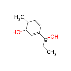 CC[C@H](O)C1=CC(O)C(C)C=C1